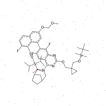 COCOc1cc(-c2c(F)cc3c(N4CC5CCC(C5)C4)nc(OCC4(CO[Si](C)(C)C(C)(C)C)CC4)nc3c2F)c2c(C#C[Si](C(C)C)(C(C)C)C(C)C)c(F)ccc2c1